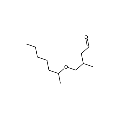 CCCCCC(C)OCC(C)CC=O